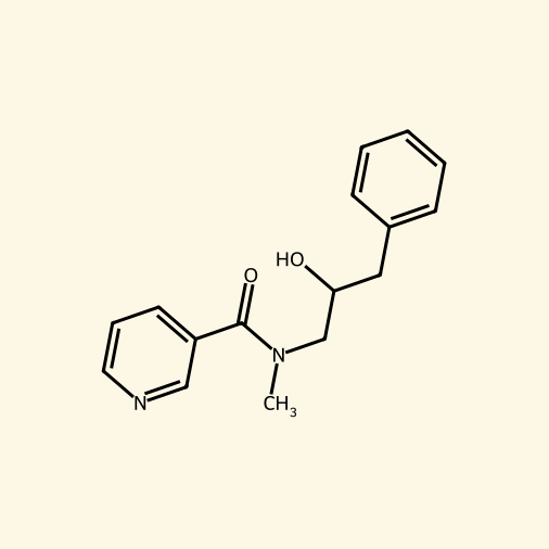 CN(CC(O)Cc1ccccc1)C(=O)c1cccnc1